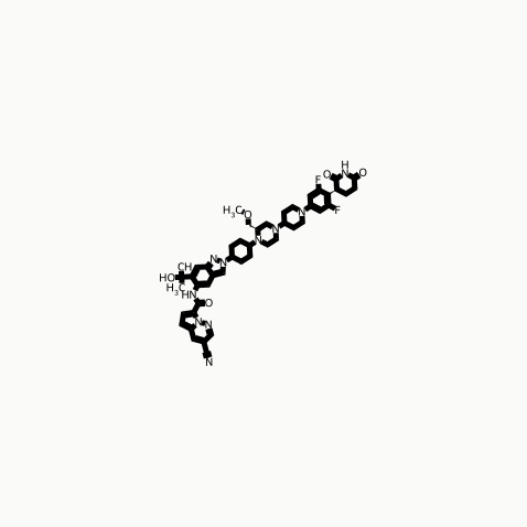 COC[C@@H]1CN(C2CCN(c3cc(F)c([C@H]4CCC(=O)NC4=O)c(F)c3)CC2)CCN1C1CCC(n2cc3cc(NC(=O)c4ccc5cc(C#N)cnn45)c(C(C)(C)O)cc3n2)CC1